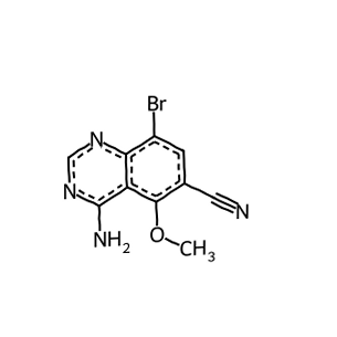 COc1c(C#N)cc(Br)c2ncnc(N)c12